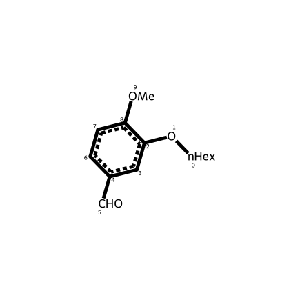 CCCCCCOc1cc(C=O)ccc1OC